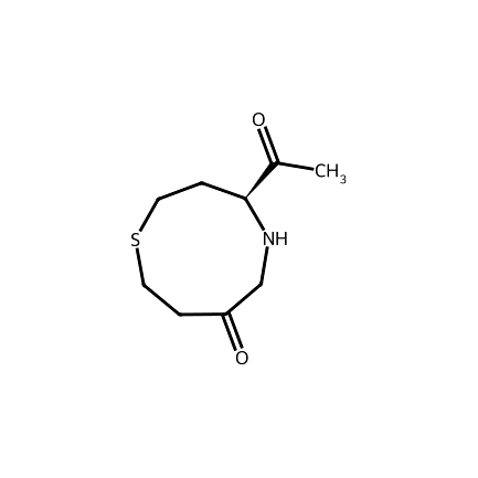 CC(=O)[C@@H]1CCSCCC(=O)CN1